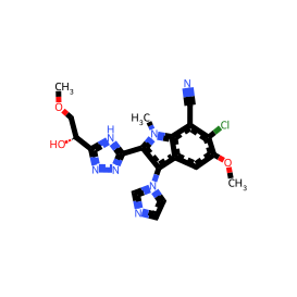 COC[C@@H](O)c1nnc(-c2c(-n3ccnc3)c3cc(OC)c(Cl)c(C#N)c3n2C)[nH]1